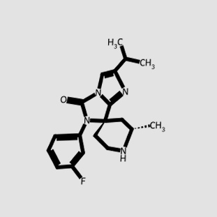 CC(C)c1cn2c(n1)[C@@]1(CCN[C@@H](C)C1)N(c1cccc(F)c1)C2=O